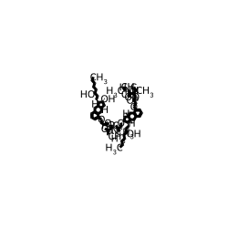 CCCCC[C@H](O)CC[C@@H]1[C@H]2Cc3cccc(OCC(=O)OC(CC)C(=O)NC(C)(C)CO[C@@H]4C[C@@H]5Cc6c(cccc6OCC(=O)OC(C(=O)NC(C)(C)C)C(C)C)C[C@@H]5[C@H]4CC[C@@H](O)CCCCC)c3C[C@H]2C[C@H]1O